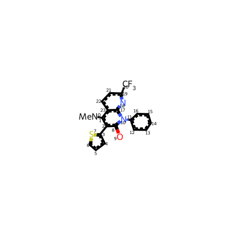 CNc1c(-c2cccs2)c(=O)n(-c2ccccc2)c2nc(C(F)(F)F)ccc12